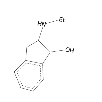 CCNC1Cc2ccccc2C1O